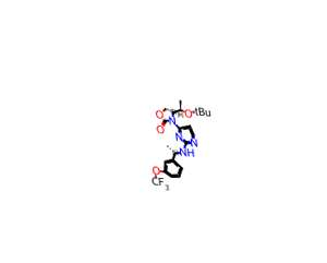 C[C@H](Nc1nccc(N2C(=O)OC[C@@H]2[C@@H](C)OC(C)(C)C)n1)c1cccc(OC(F)(F)F)c1